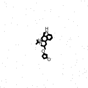 CC(C)N1CC(COC2=CC(=O)CC2)CC2c3cccc4[nH]cc(c34)C[C@H]21